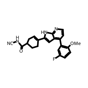 COc1ccc(F)cc1-c1ccnc2[nH]c(C3=CCC(C(=O)NC#N)CC3)cc12